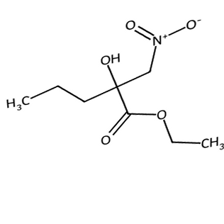 CCCC(O)(C[N+](=O)[O-])C(=O)OCC